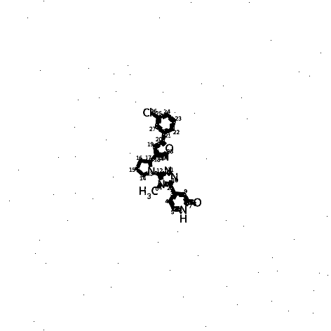 Cn1c(-c2cc[nH]c(=O)c2)nnc1N1CCCC1c1cc(-c2cccc(Cl)c2)on1